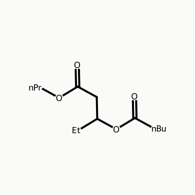 CCCCC(=O)OC(CC)CC(=O)OCCC